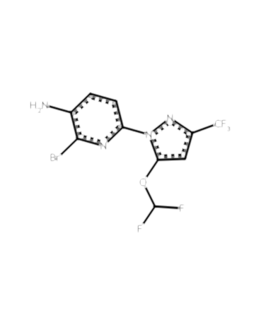 Nc1ccc(-n2nc(C(F)(F)F)cc2OC(F)F)nc1Br